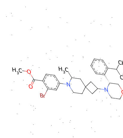 COC(=O)c1ccc(N2CCC3(CC2C)CC(N2CCOC[C@H]2c2ccccc2C(C)C)C3)cc1Br